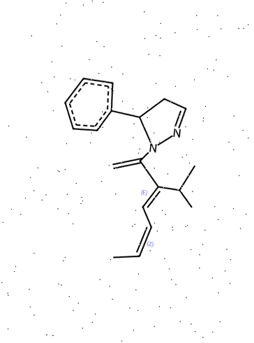 C=C(/C(=C/C=C\C)C(C)C)N1N=CCC1c1ccccc1